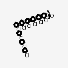 CCOC(C)=O.Clc1ccccc1.Clc1ccccc1.Clc1ccccc1.Clc1ccccc1.Clc1ccccc1.Clc1ccccc1.Clc1ccccc1.Clc1ccccc1.Clc1ccccc1